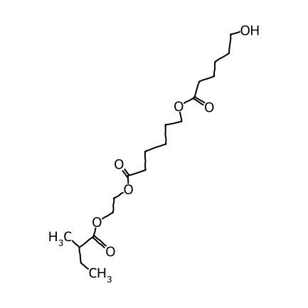 CCC(C)C(=O)OCCOC(=O)CCCCCOC(=O)CCCCCO